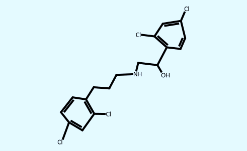 OC(CNCCCc1ccc(Cl)cc1Cl)c1ccc(Cl)cc1Cl